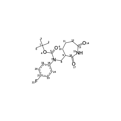 CC(C)(C)OC(=O)N(CC1CCCC(=O)NC1=O)c1ccc(F)cc1